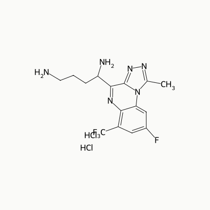 Cc1nnc2c(C(N)CCCN)nc3c(C(F)(F)F)cc(F)cc3n12.Cl.Cl